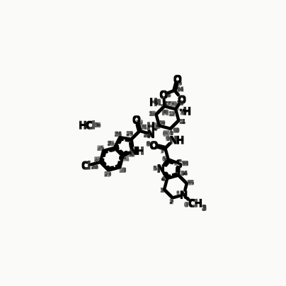 CN1CCc2nc(C(=O)N[C@H]3C[C@@H]4OC(=O)O[C@@H]4C[C@H]3NC(=O)c3cc4cc(Cl)ccc4[nH]3)sc2C1.Cl